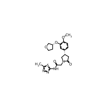 COc1ccc([C@@H]2CC(=O)N(CC(=O)Nc3nnc(C)s3)C2)cc1O[C@@H]1CCOC1